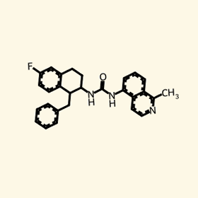 Cc1nccc2c(NC(=O)NC3CCc4cc(F)ccc4C3Cc3ccccc3)cccc12